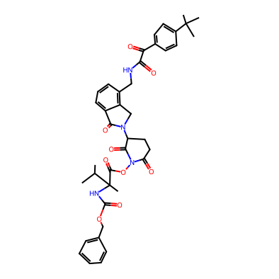 CC(C)C(C)(NC(=O)OCc1ccccc1)C(=O)ON1C(=O)CCC(N2Cc3c(CNC(=O)C(=O)c4ccc(C(C)(C)C)cc4)cccc3C2=O)C1=O